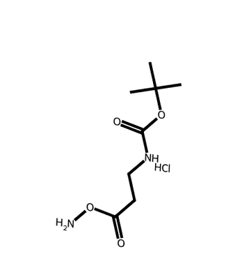 CC(C)(C)OC(=O)NCCC(=O)ON.Cl